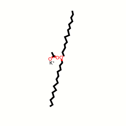 CC(=O)[O-].CCCCCCCCCCCCCCOCCCCCCCCCCCCCC.[K+]